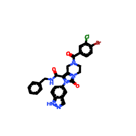 O=C(NCc1ccccc1)c1c2n(c(=O)n1-c1ccc3[nH]ncc3c1)CCN(C(=O)c1ccc(Br)c(Cl)c1)C2